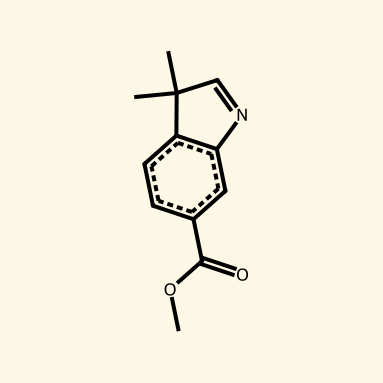 COC(=O)c1ccc2c(c1)N=CC2(C)C